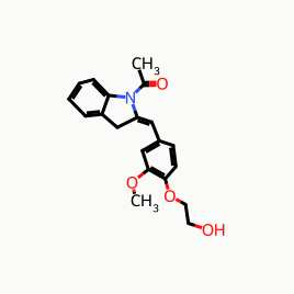 COc1cc(C=C2Cc3ccccc3N2C(C)=O)ccc1OCCO